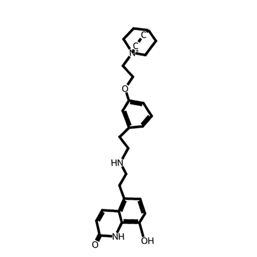 O=c1ccc2c(CCNCCc3cccc(OCC[N+]45CCC(CC4)CC5)c3)ccc(O)c2[nH]1